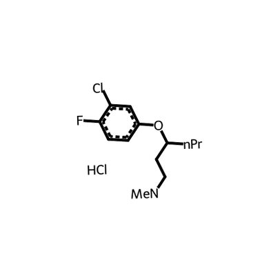 CCCC(CCNC)Oc1ccc(F)c(Cl)c1.Cl